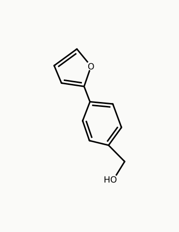 OCc1ccc(-c2ccco2)cc1